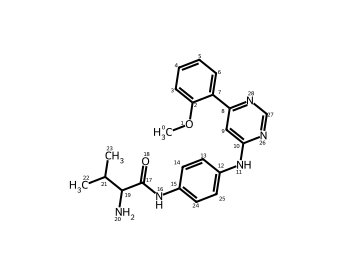 COc1ccccc1-c1cc(Nc2ccc(NC(=O)C(N)C(C)C)cc2)ncn1